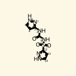 O=C(Nc1cc[nH]n1)NS(=O)(=O)c1cc[nH]n1